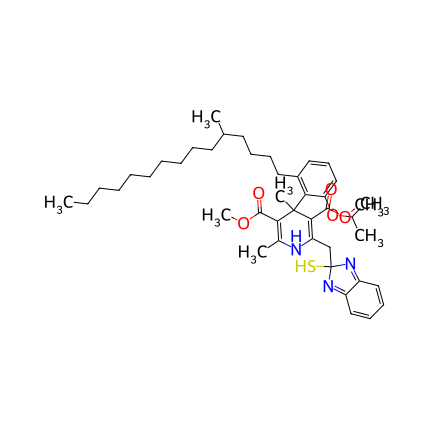 CCCCCCCCCCC(C)CCCCc1cccc(OC(C)C)c1C1(C)C(C(=O)OC)=C(C)NC(CC2(S)N=c3ccccc3=N2)=C1C(=O)OC